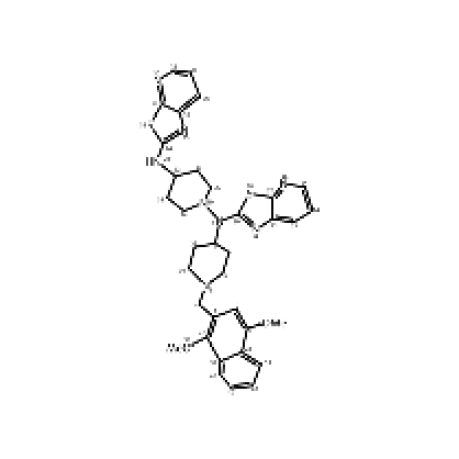 COc1cc(CN2CCC(N(c3nc4cccnc4s3)N3CCC(Nc4nc5cccnc5s4)CC3)CC2)c(OC)c2ccccc12